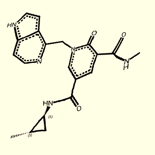 CNC(=O)c1cc(C(=O)N[C@H]2C[C@@H]2C)cn(Cc2nccc3[nH]ccc23)c1=O